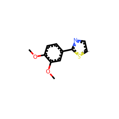 COc1ccc(-c2nc[c]s2)cc1OC